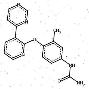 Cc1cc(NC(N)=O)ccc1Oc1ncccc1-c1ccncn1